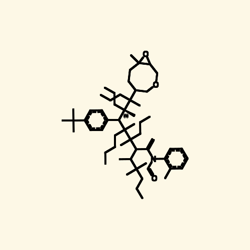 C=C(C(C(C)C(C)(C)CCC)C(C)(CCC)C(C)(CCCC)C(c1ccc(C(C)(C)C)cc1)[C@](C)(CCC)C(C)(CCC)C1CCC2(C)OC2COC1)N(C=O)c1ccccc1C